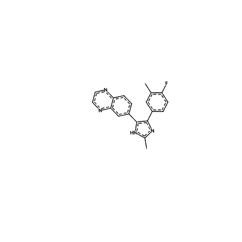 Cc1nc(-c2ccc(F)c(C)c2)c(-c2ccc3nccnc3c2)[nH]1